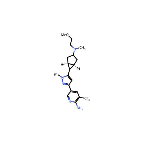 COCCN(C)C1C[C@@H]2C(c3cc(-c4cnc(N)c(C(F)(F)F)c4)nn3C(C)C)[C@@H]2C1